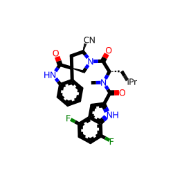 CC(C)C[C@@H](C(=O)N1C[C@]2(C[C@H]1C#N)C(=O)Nc1ccccc12)N(C)C(=O)c1cc2c(F)ccc(F)c2[nH]1